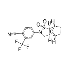 N#Cc1ccc(N2C[C@H]3[C@H]([C@@H]4C=C[C@H]3O4)S2(=O)=O)cc1C(F)(F)F